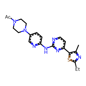 CCc1nc(C)c(-c2ccnc(Nc3ccc(N4CCN(C(C)=O)CC4)cn3)n2)s1